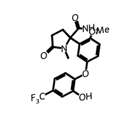 COc1ccc(Oc2ccc(C(F)(F)F)cc2O)cc1C1(C(N)=O)CCC(=O)N1C